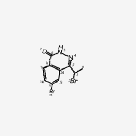 CC(Br)c1n[nH]c(=O)c2ccc(Br)cc12